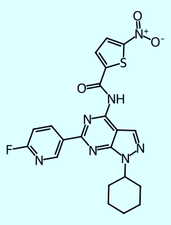 O=C(Nc1nc(-c2ccc(F)nc2)nc2c1cnn2C1CCCCC1)c1ccc([N+](=O)[O-])s1